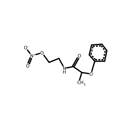 CC(Oc1ccccc1)C(=O)NCCO[N+](=O)[O-]